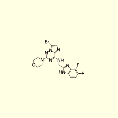 Fc1ccc2[nH]c(CNc3nc(N4CCOCC4)nn4c(Br)cnc34)nc2c1F